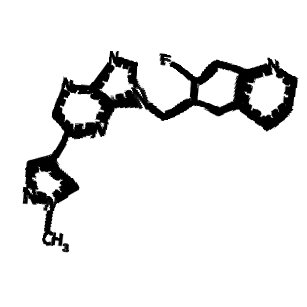 Cn1cc(-c2cnc3ncn(C=C4Cc5cccnc5C=C4F)c3n2)cn1